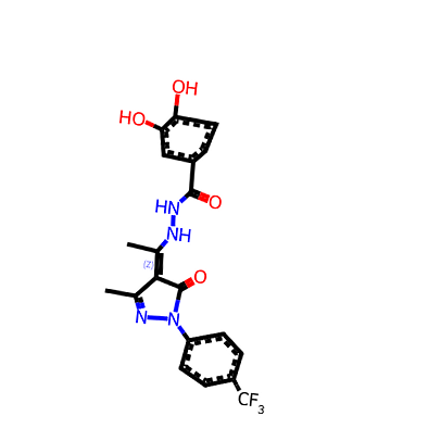 CC1=NN(c2ccc(C(F)(F)F)cc2)C(=O)/C1=C(/C)NNC(=O)c1ccc(O)c(O)c1